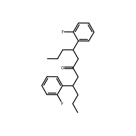 CCCC(CC(=O)CC(CCC)c1ccccc1F)c1ccccc1F